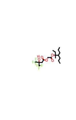 CCCC(CCC)C(C)(CC)OC(=O)COC(=O)CC(O)(C(F)(F)F)C(F)(F)F